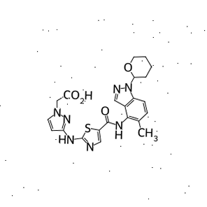 Cc1ccc2c(cnn2C2CCCCO2)c1NC(=O)c1cnc(Nc2ccn(CC(=O)O)n2)s1